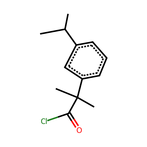 CC(C)c1cccc(C(C)(C)C(=O)Cl)c1